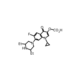 CCC1CN(c2cc3c(cc2F)c(=O)c(OC(=O)O)cn3C2CC2)CC(CC)N1